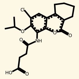 CC(C)Oc1c(Cl)cc2c3c(c(=O)oc2c1NC(=O)CCC(=O)O)CCCC3